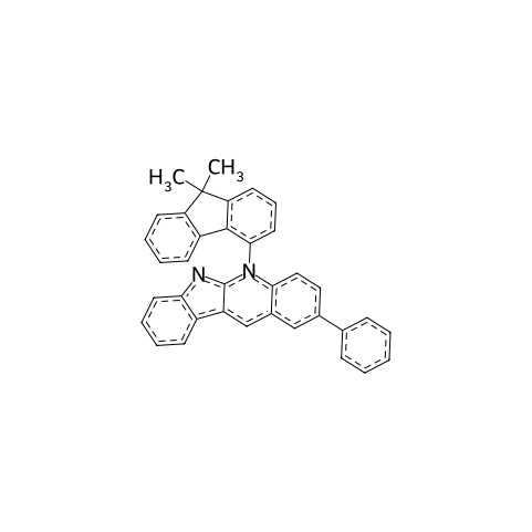 CC1(C)c2ccccc2-c2c(-n3c4nc5ccccc5c-4cc4cc(-c5ccccc5)ccc43)cccc21